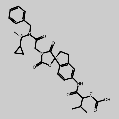 CC(C)C(NC(=O)O)C(=O)Nc1ccc2c(c1)CC[C@]21OC(=O)N(CC(=O)N(Cc2ccccc2)[C@@H](C)C2CC2)C1=O